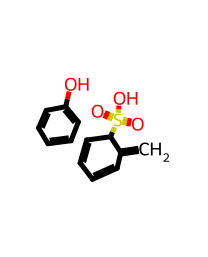 C=C1C=CC=CC1S(=O)(=O)O.Oc1ccccc1